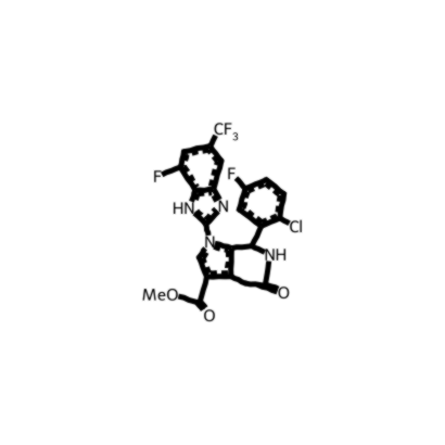 COC(=O)c1cn(-c2nc3cc(C(F)(F)F)cc(F)c3[nH]2)c2c1CC(=O)NC2c1cc(F)ccc1Cl